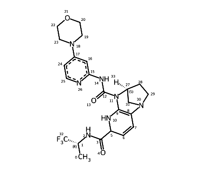 C[C@@H](NC(=O)C1C=CC2=C(N1)N(C(=O)Nc1cc(N3CCOCC3)ccn1)[C@H]1CCN2C1)C(F)(F)F